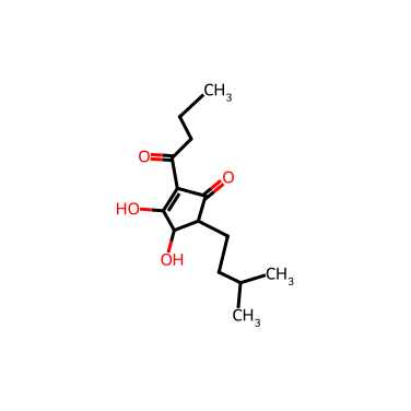 CCCC(=O)C1=C(O)C(O)C(CCC(C)C)C1=O